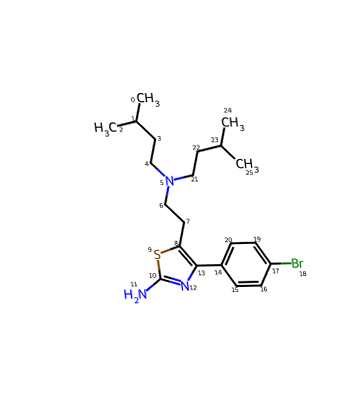 CC(C)CCN(CCc1sc(N)nc1-c1ccc(Br)cc1)CCC(C)C